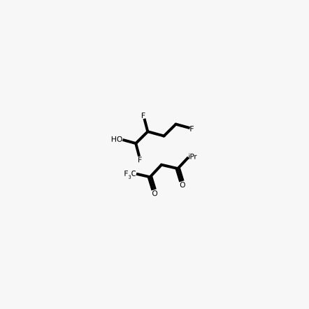 CC(C)C(=O)CC(=O)C(F)(F)F.OC(F)C(F)CCF